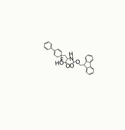 O=C(NC(CC1(F)C=CC(c2ccccc2)=CC1)C(=O)O)OCC1c2ccccc2-c2ccccc21